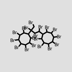 BrCC(Br)(C(Br)C(Br)C1C(Br)C(Br)C(Br)C(Br)C(Br)C(Br)C1Br)C1C(Br)C(Br)C(Br)C(Br)C(Br)C(Br)C1Br